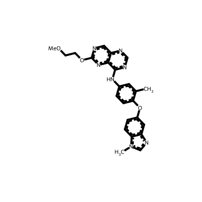 COCCOc1ncc2ncnc(Nc3ccc(Oc4ccc5c(c4)ncn5C)c(C)c3)c2n1